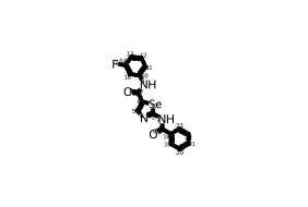 O=C(Nc1ncc(C(=O)Nc2cccc(F)c2)[se]1)c1ccccc1